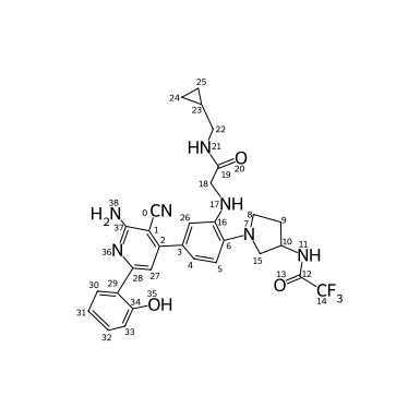 N#Cc1c(-c2ccc(N3CCC(NC(=O)C(F)(F)F)C3)c(NCC(=O)NCC3CC3)c2)cc(-c2ccccc2O)nc1N